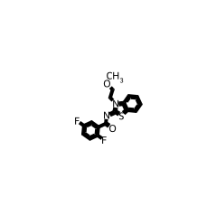 COCCn1/c(=N/C(=O)c2cc(F)ccc2F)sc2ccccc21